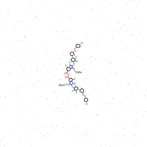 COCCn1c(Cc2c(F)cc(-c3cccc(OCc4ccc(Cl)cc4)n3)c(F)c2F)nc2c(F)cc(C(=O)OC(=O)c3cc(F)c4nc(Cc5c(F)cc(-c6cccc(OCc7ccc(Cl)cc7)n6)c(F)c5F)n(CCOC)c4c3)cc21